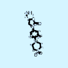 NC[C@H]1CN(c2cnc(N3CCS(=O)(=O)CC3)c(F)c2)C(=O)O1